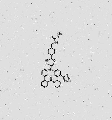 CC(C)(C)OC(=O)NCC1CCC(C(=O)N[C@@H](Cc2ccc(-c3ccccc3C(=O)N3CCOCC3)cc2)C(=O)Nc2ccc(-c3nn[nH]n3)cc2)CC1